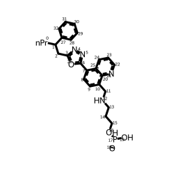 CCCC(Cc1nnc(-c2ccc(CNCCCO[PH](=O)O)c3ncccc23)o1)c1ccccc1